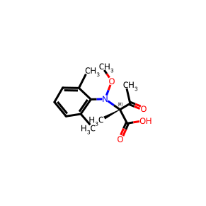 CON(c1c(C)cccc1C)[C@](C)(C(C)=O)C(=O)O